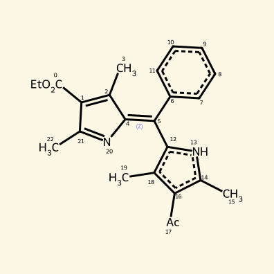 CCOC(=O)C1=C(C)/C(=C(\c2ccccc2)c2[nH]c(C)c(C(C)=O)c2C)N=C1C